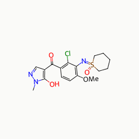 COc1ccc(C(=O)c2cnn(C)c2O)c(Cl)c1N=S1(=O)CCCCC1